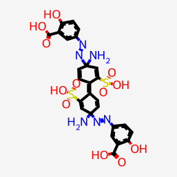 NC1(N=Nc2ccc(O)c(C(=O)O)c2)C=CC(=C2C=CC(N)(N=Nc3ccc(O)c(C(=O)O)c3)C=C2S(=O)(=O)O)C(S(=O)(=O)O)=C1